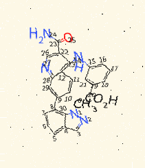 Cn1ncc2cccc(-c3ccc4c(Nc5cccc(C(=O)O)c5)c(C(N)=O)cnc4c3)c21